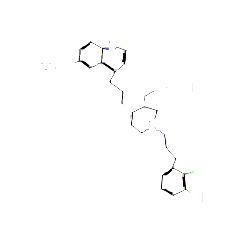 COc1ccc2nccc(CCC[C@@H]3CCN(CCCc4cccc(Cl)c4Cl)C[C@@H]3CC(=O)O)c2c1